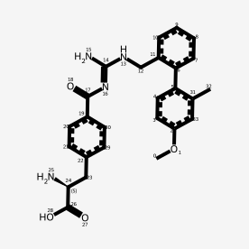 COc1ccc(-c2ccccc2CNC(N)=NC(=O)c2ccc(C[C@H](N)C(=O)O)cc2)c(C)c1